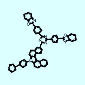 c1ccc(-c2ccc(-n3c4ccc5ccccc5c4c4c5ccc(-c6nc(-c7ccc(-c8nc9ccccc9o8)cc7)nc(-c7ccc(-c8nc9ccccc9o8)cc7)n6)cc5ccc43)cc2)cc1